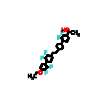 CCOc1ccc(-c2ccc(CCC3CCC(c4ccc(C(C)O)c(F)c4F)CC3)c(F)c2F)c(F)c1F